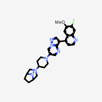 COc1cc2c(-c3cnn4cc(N5CCC(N6CC7CCC(C6)N7C)CC5)cnc34)ccnc2cc1F